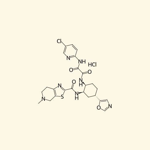 CN1CCc2nc(C(=O)N[C@@H]3C[C@@H](c4cnco4)CC[C@@H]3NC(=O)C(=O)Nc3ccc(Cl)cn3)sc2C1.Cl